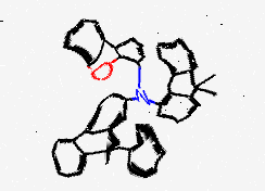 CC1(C)c2ccccc2-c2c(N(c3ccc4c(c3)C(C)(c3ccccc3)c3ccccc3-4)c3cccc4c3oc3ccccc34)cccc21